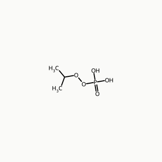 CC(C)OOP(=O)(O)O